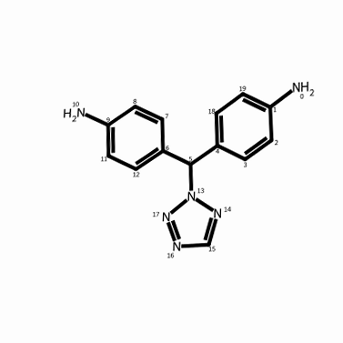 Nc1ccc(C(c2ccc(N)cc2)n2ncnn2)cc1